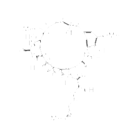 COc1cc2cc(c1Cl)N(C)C(=O)C[C@H](OC(=O)[C@H](C)OCCSSC)[C@]1(C)O[C@H]1[C@H](C)[C@@H]1C[C@@](O)(NC(=O)O1)[C@H](OC)CC/C=C(\C)C2